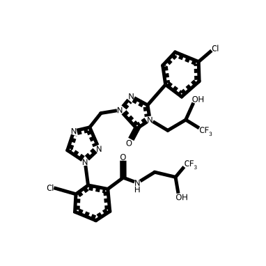 O=C(NCC(O)C(F)(F)F)c1cccc(Cl)c1-n1cnc(Cn2nc(-c3ccc(Cl)cc3)n(CC(O)C(F)(F)F)c2=O)n1